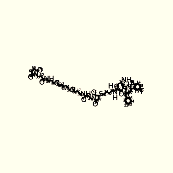 CC(C)(CN)[C@H](c1nc(-c2cc(F)ccc2F)cn1Cc1ccccc1)C(O)C(=O)NCCCCSC1CC(=O)N(CCC(=O)NCCCOCCOCCOCCCNC(=O)CCN2C(=O)C=CC2=O)C1=O